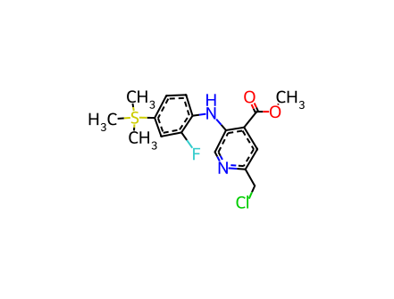 COC(=O)c1cc(CCl)ncc1Nc1ccc(S(C)(C)C)cc1F